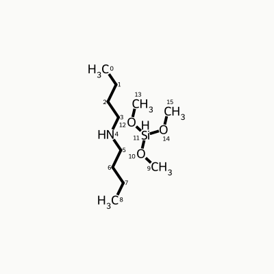 CCCCNCCCC.CO[SiH](OC)OC